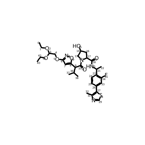 CCOC(COc1cc(C(C(=O)N2CC(O)CC2C(=O)NC(C)c2ccc(-c3scnc3C)cc2F)C(C)C)on1)OCC